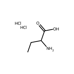 CCC(N)C(=O)O.Cl.Cl